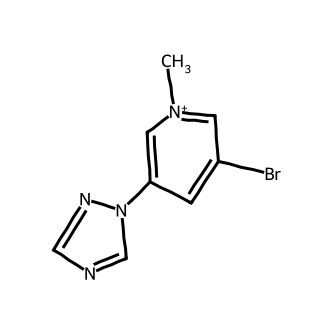 C[n+]1cc(Br)cc(-n2cncn2)c1